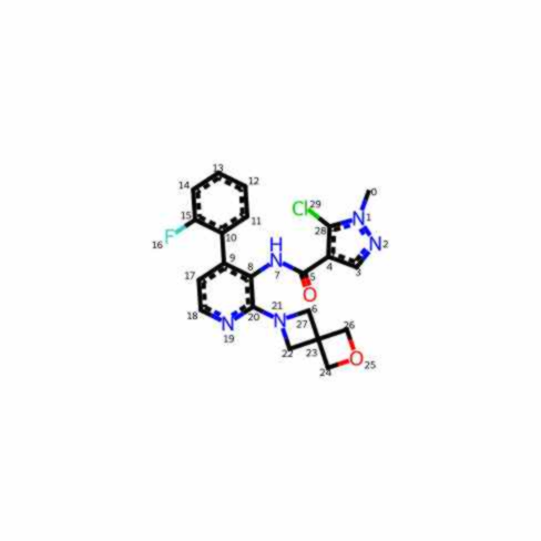 Cn1ncc(C(=O)Nc2c(-c3ccccc3F)ccnc2N2CC3(COC3)C2)c1Cl